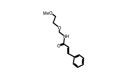 COCCOCNC(=O)C=Cc1ccccc1